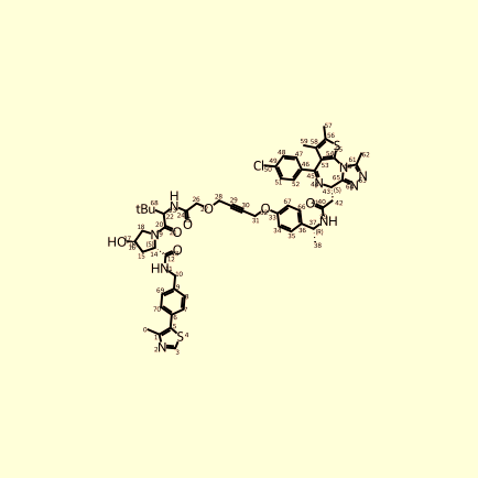 Cc1ncsc1-c1ccc(CNC(=O)[C@@H]2C[C@@H](O)CN2C(=O)C(NC(=O)COCC#CCOc2ccc([C@@H](C)NC(=O)C[C@@H]3N=C(c4ccc(Cl)cc4)c4c(sc(C)c4C)-n4c(C)nnc43)cc2)C(C)(C)C)cc1